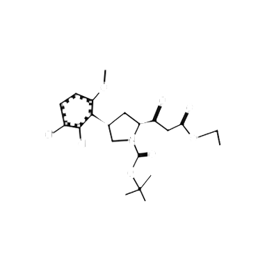 CCOC(=O)CC(=O)[C@@H]1C[C@H](c2c(OC)ccc(Cl)c2Cl)CN1C(=O)OC(C)(C)C